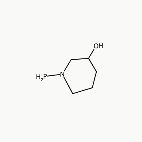 OC1CCCN(P)C1